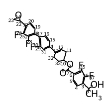 CC(O)c1ccc(C(=O)OC2CC=C(c3ccc(-c4ccc(C5CO5)c(F)c4F)c(F)c3)CC2)c(F)c1F